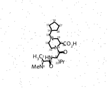 CN[C@@H](C)C(=O)N[C@H](C(=O)N1CCN(CC2CCCC2)C[C@H]1C(=O)O)C(C)C